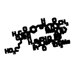 CC[C@H](C)[C@@H]([C@@H](CC(=O)N1CCC[C@H]1[C@H](OC)[C@@H](C)C(=O)NCC(=O)NOCc1ccc(NC(=O)[C@@H](C)NC(=O)CCCC(=O)O)cc1)OC)N(C)C(=O)CNC(=O)C(C(C)C)N(C)C